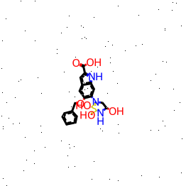 O=C(O)c1cc2cc(OCc3ccccc3)c(N3CC(O)NS3(O)O)cc2[nH]1